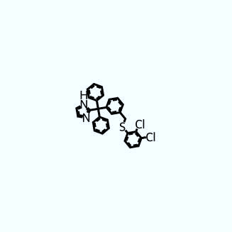 Clc1cccc(SCc2cccc(C(c3ccccc3)(c3ccccc3)c3ncc[nH]3)c2)c1Cl